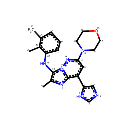 Cc1nc2c(-c3cnc[nH]3)cc(N3CCOCC3)nn2c1Nc1cccc(C(F)(F)F)c1C